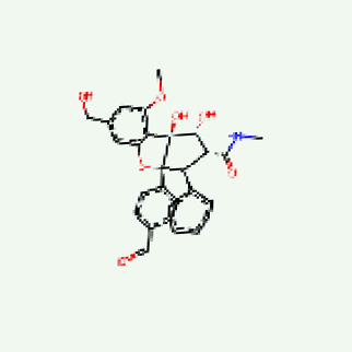 CNC(=O)[C@H]1[C@@H](O)[C@@]2(O)c3c(OC)cc(CO)cc3O[C@@]2(c2ccc(C=O)cc2)[C@@H]1c1ccccc1